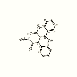 CCCOC(=O)C(c1ccccc1)c1c(O)c2ccccc2oc1=O